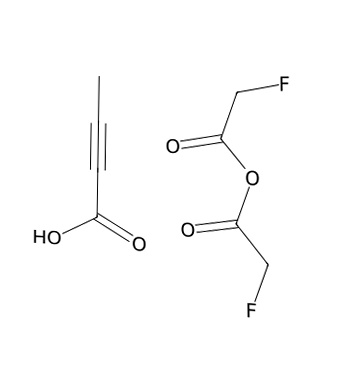 CC#CC(=O)O.O=C(CF)OC(=O)CF